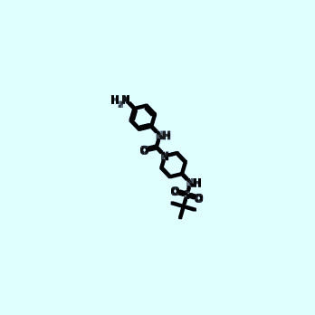 CC(C)(C)S(=O)(=O)NC1CCN(C(=O)Nc2ccc(N)cc2)CC1